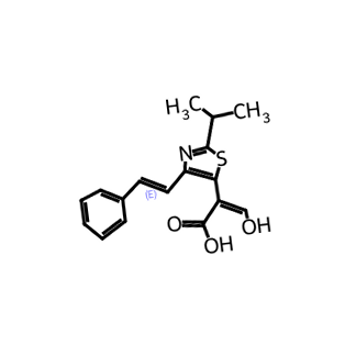 CC(C)c1nc(/C=C/c2ccccc2)c(C(=CO)C(=O)O)s1